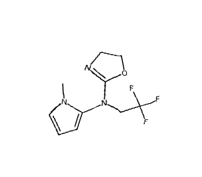 Cn1cccc1N(CC(F)(F)F)C1=NCCO1